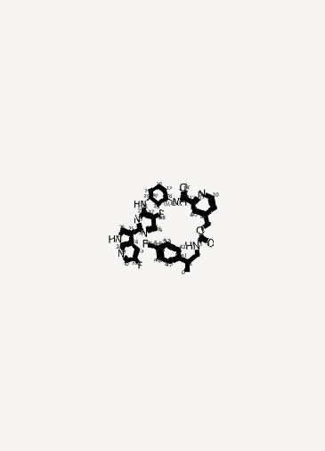 CC(CNC(=O)OCc1ccnc(C(=O)N[C@H]2CCC[C@@H](Nc3nc(-c4c[nH]c5ncc(F)cc45)ncc3F)C2)c1)c1ccc(F)cc1